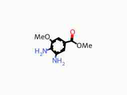 COC(=O)c1cc(N)c(N)c(OC)c1